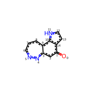 O=c1cc2nncccc-2c2[nH]ccc12